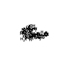 CC(C)C(=O)Nc1nc2c(ncn2C2OC(CO)C(C)C2OP(=O)(OCCC#N)OCC2OC(c3cnc4c(NC(=O)c5ccccc5)ncnn34)C(C)C2O[PH](=O)O)c(=O)[nH]1